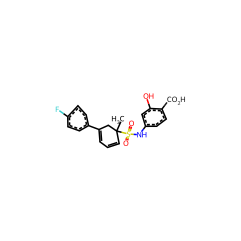 CC1(S(=O)(=O)Nc2ccc(C(=O)O)c(O)c2)C=CC=C(c2ccc(F)cc2)C1